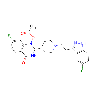 O=C1NC(C2CCN(CCc3n[nH]c4ccc(Cl)cc34)CC2)N(OC(=O)C(F)(F)F)c2cc(F)ccc21